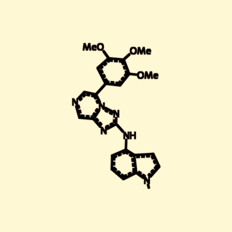 COc1cc(-c2cncc3nc(Nc4cccc5c4ccn5C)nn23)cc(OC)c1OC